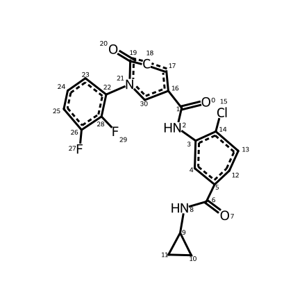 O=C(Nc1cc(C(=O)NC2CC2)ccc1Cl)c1ccc(=O)n(-c2cccc(F)c2F)c1